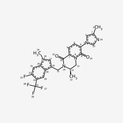 Cc1cn(-c2ccc3n(c2=O)C[C@@H](C)N(Cc2cn(C)c4cc(F)c(C(F)(F)F)cc24)C3=O)cn1